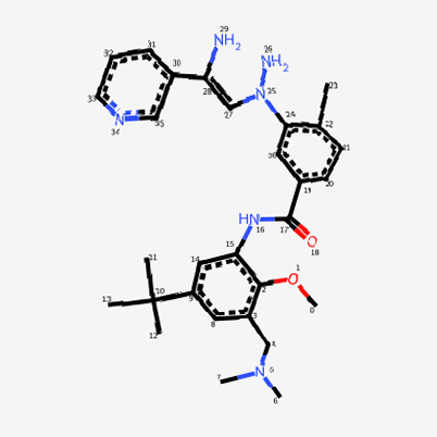 COc1c(CN(C)C)cc(C(C)(C)C)cc1NC(=O)c1ccc(C)c(N(N)/C=C(\N)c2cccnc2)c1